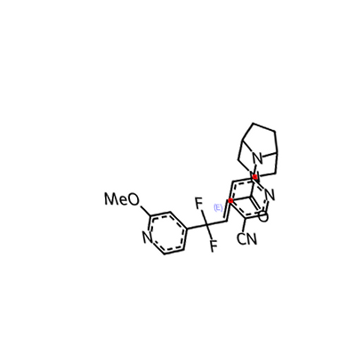 COc1cc(C(F)(F)/C=C/C(=O)N2CC3CCC(C2)N3c2ccc(C#N)cn2)ccn1